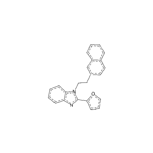 c1coc(-c2nc3ccccc3n2CCc2ccc3ccccc3c2)c1